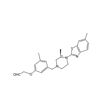 Cc1cc(CN2CCN(c3nc4ccc(C)cc4s3)[C@H](C)C2)cc(OCC=O)c1